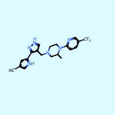 CC1CN(Cc2c[nH]nc2-c2cc(C#N)c[nH]2)CCN1c1ccc(C(F)(F)F)cn1